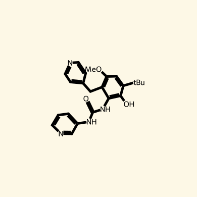 COc1cc(C(C)(C)C)c(O)c(NC(=O)Nc2cccnc2)c1Cc1ccncc1